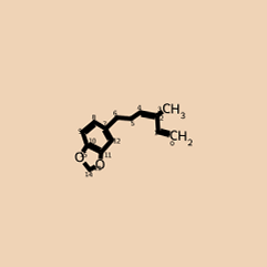 C=CC(C)=CCCc1ccc2c(c1)OCO2